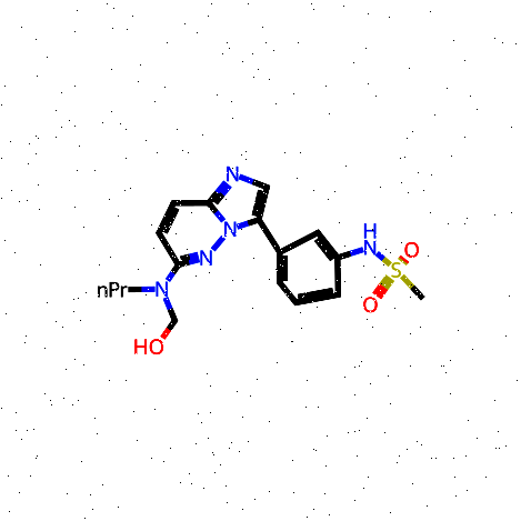 CCCN(CO)c1ccc2ncc(-c3cccc(NS(C)(=O)=O)c3)n2n1